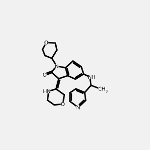 CC(Nc1ccc2c(c1)/C(=C1\COCCN1)C(=O)N2C1CCOCC1)c1cccnc1